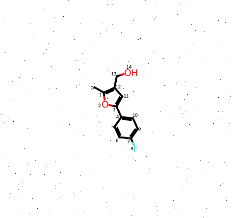 Cc1oc(-c2ccc(F)cc2)cc1CO